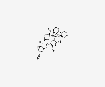 CN1CCN(C(=O)C2(COc3cc(OCc4cncc(C#N)c4)c(C=O)cc3Cl)C=CC=C(c3ccccc3)C2(C)C)CC1